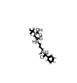 CN(CCCNC(=O)CN(C(=O)O)C(C)(C)C)C(Cl)(Cl)c1ccccc1